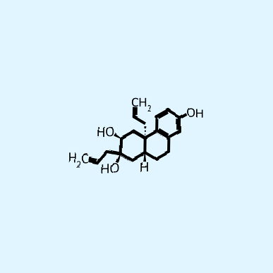 C=CC[C@@]1(O)C[C@H]2CCc3cc(O)ccc3[C@]2(CC=C)C[C@@H]1O